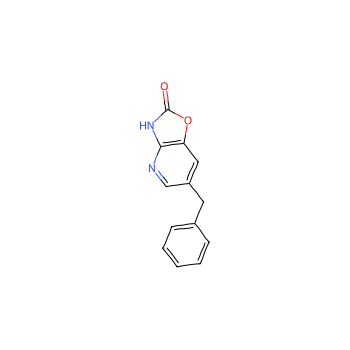 O=c1[nH]c2ncc(Cc3ccccc3)cc2o1